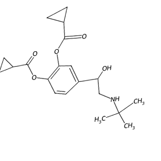 CC(C)(C)NCC(O)c1ccc(OC(=O)C2CC2)c(OC(=O)C2CC2)c1